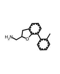 Cc1ccccc1-c1cccc2c1OC(CN)C2